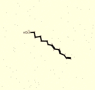 C=CC/[C]=C/C=CCCCCCCCCCCCCCC